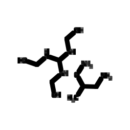 CC(CN)ON.OCNC(NCO)NCO